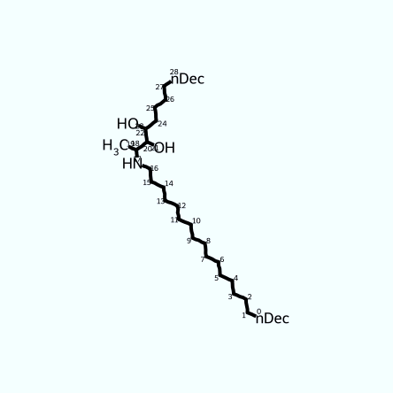 CCCCCCCCCCCCCCCCCCCCCCCCCCNC(C)C(O)C(O)CCCCCCCCCCCCCC